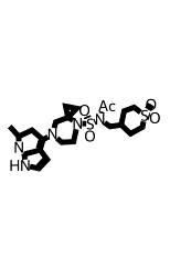 CC(=O)N(CC1CCS(=O)(=O)CC1)S(=O)(=O)N1CCN(C2=c3cc[nH]c3=NC(C)C2)CC12CC2